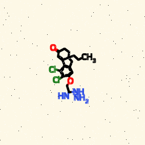 CCCC12CCC(=O)C=C1c1c(cc(OCC(=N)NN)c(Cl)c1Cl)C2